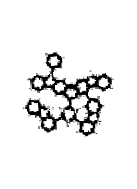 c1ccc(-c2nc(-c3cccc4c3sc3ccccc34)nc(-c3cccc4oc5ccc(-c6cc(-c7ccc8c9ccccc9n(-c9ccccc9)c8c7)cc7oc8ccccc8c67)cc5c34)n2)cc1